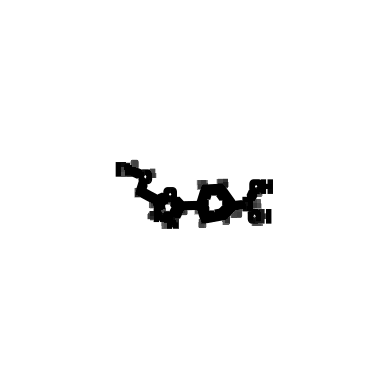 CCOCc1nnc(-c2ccc(B(O)O)cc2)o1